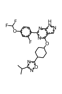 CC(C)c1noc(C2CCC(Oc3nc(-c4ccc(OC(F)F)cc4F)nc4[nH]ncc34)CC2)n1